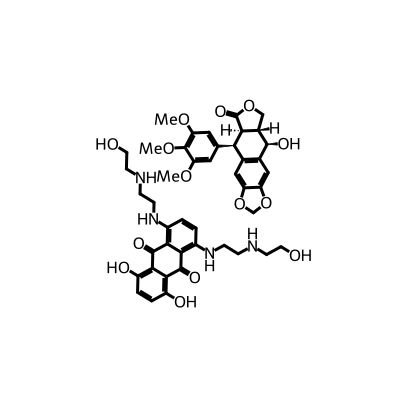 COc1cc([C@@H]2c3cc4c(cc3[C@H](O)[C@H]3COC(=O)[C@H]23)OCO4)cc(OC)c1OC.O=C1c2c(O)ccc(O)c2C(=O)c2c(NCCNCCO)ccc(NCCNCCO)c21